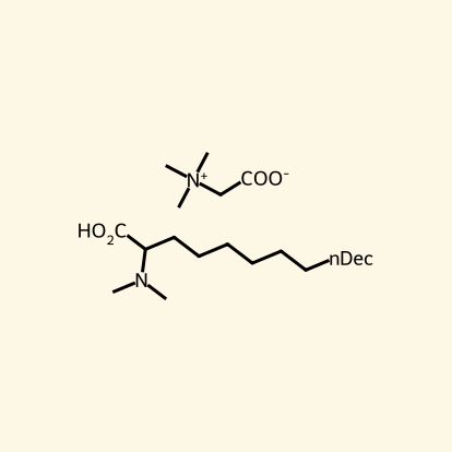 CCCCCCCCCCCCCCCCC(C(=O)O)N(C)C.C[N+](C)(C)CC(=O)[O-]